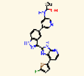 CC(C)(C)C(O)Nc1cncc(-c2ccc3[nH]nc(-c4nc5c(-c6ccc(F)s6)ccnc5[nH]4)c3c2)c1